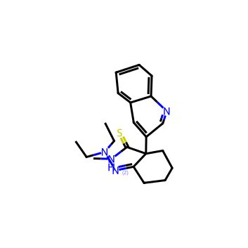 CCN(CC)/N=C1/CCCCC1(C(=S)NC)c1cnc2ccccc2c1